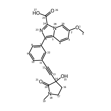 COc1ccc2c(-c3cccc(C#CC4(O)CCN(C)C4=O)c3)nc(C(=O)O)n2c1